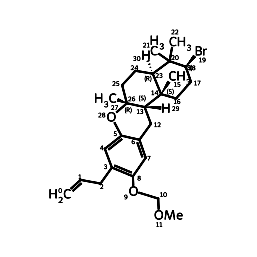 C=CCc1cc2c(cc1OCOC)C[C@H]1[C@@]3(C)CC[C@H](Br)C(C)(C)[C@@H]3CC[C@@]1(C)O2